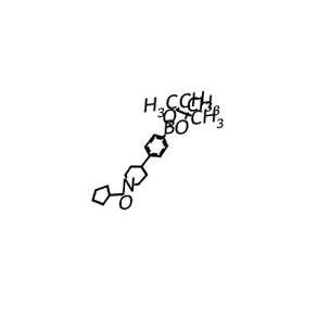 CC1(C)OB(c2ccc(C3CCN(C(=O)C4CCCC4)CC3)cc2)OC1(C)C